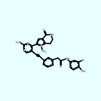 Cn1c(-c2nc(N)ncc2C#Cc2cccc(CC(=O)Nc3ccc(O)c(Cl)c3)c2)cc2c1CCNC2=O